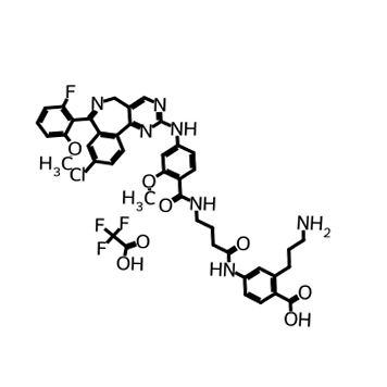 COc1cc(Nc2ncc3c(n2)-c2ccc(Cl)cc2C(c2c(F)cccc2OC)=NC3)ccc1C(=O)NCCCC(=O)Nc1ccc(C(=O)O)c(CCCN)c1.O=C(O)C(F)(F)F